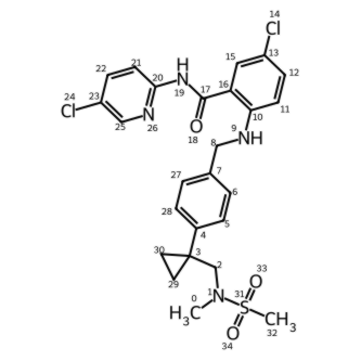 CN(CC1(c2ccc(CNc3ccc(Cl)cc3C(=O)Nc3ccc(Cl)cn3)cc2)CC1)S(C)(=O)=O